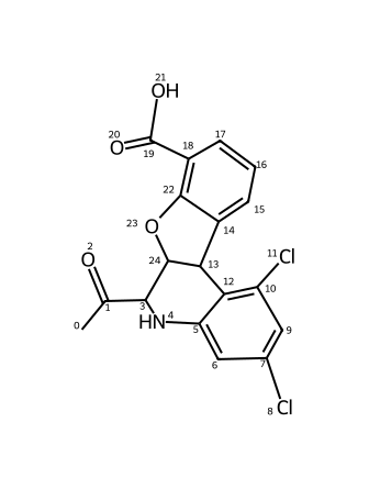 CC(=O)C1Nc2cc(Cl)cc(Cl)c2C2c3cccc(C(=O)O)c3OC12